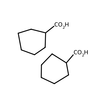 O=C(O)C1CCCCC1.O=C(O)C1CCCCC1